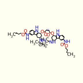 C=CCCOC(=O)Nc1ccc2[nH]c3c(c2c1)CC(NC(C)C)CC3OC(=O)/C=C\C(=O)OC1CC(NC(C)C)Cc2c1[nH]c1ccc(NC(=O)OCCC=C)cc21